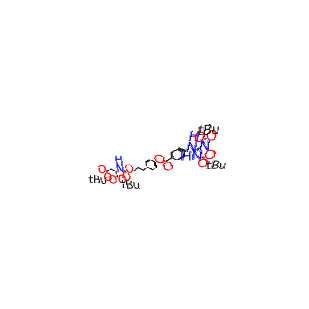 CC(C)(C)OC(=O)CC(NC(=O)OCCCc1ccc(OC(=O)c2ccc(NC(=NC(=O)OC(C)(C)C)NC(=O)OC(C)(C)C)cc2)cc1)C(=O)OC(C)(C)C